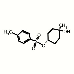 Cc1ccc(S(=O)(=O)O[C@H]2CC[C@@](C)(O)CC2)cc1